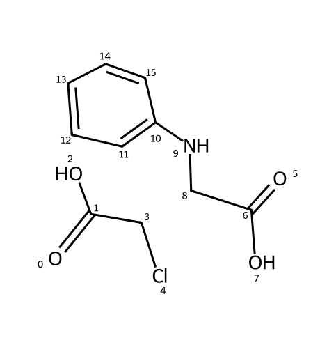 O=C(O)CCl.O=C(O)CNc1ccccc1